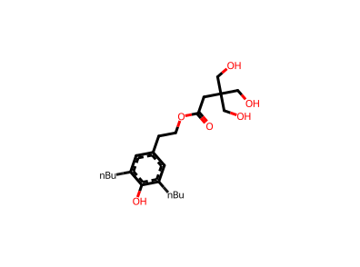 CCCCc1cc(CCOC(=O)CC(CO)(CO)CO)cc(CCCC)c1O